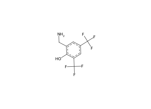 NCc1cc(C(F)(F)F)cc(C(F)(F)F)c1O